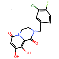 O=C1c2c(O)c(O)cc(=O)n2CCN1Cc1ccc(F)c(Cl)c1